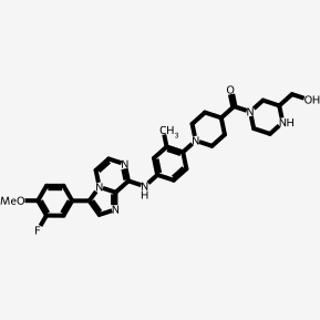 COc1ccc(-c2cnc3c(Nc4ccc(N5CCC(C(=O)N6CCNC(CO)C6)CC5)c(C)c4)nccn23)cc1F